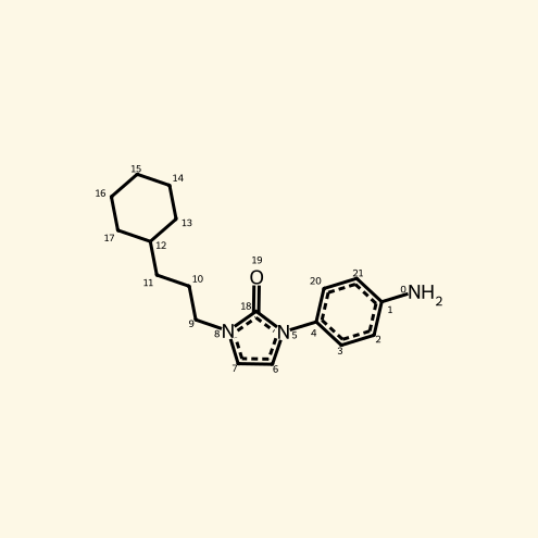 Nc1ccc(-n2ccn(CCCC3CCCCC3)c2=O)cc1